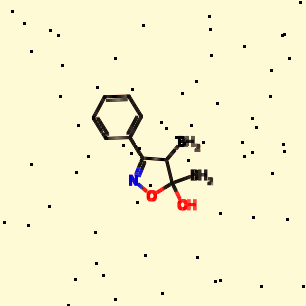 BC1C(c2ccccc2)=NOC1(B)O